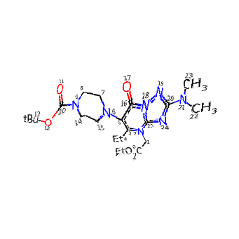 CCOC(=O)Cn1c(CC)c(N2CCN(C(=O)OC(C)(C)C)CC2)c(=O)n2nc(N(C)C)nc12